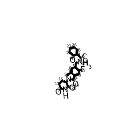 C[C@H](NC(=O)c1cc2c(cc1F)C(=O)N(C1CCC(=O)NC1=O)C2)c1ccccc1